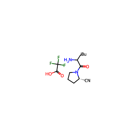 CCC(C)C(N)C(=O)N1CCC[C@H]1C#N.O=C(O)C(F)(F)F